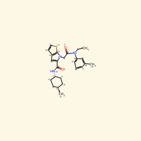 CCN(C(=O)Cn1c(C(=O)N[C@H]2CC[C@H](C)CC2)cc2ccsc21)c1cccc(C)c1